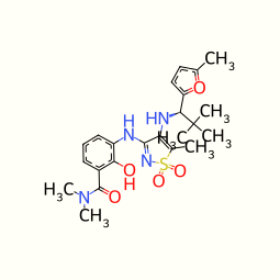 CC1=C(N[C@@H](c2ccc(C)o2)C(C)(C)C)C(Nc2cccc(C(=O)N(C)C)c2O)=NS1(=O)=O